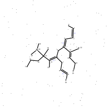 C/C=C\C=C(\C/C(C/C=C/F)=C(/C)C(C)(CCC)N(C)C)C(F)=CCF